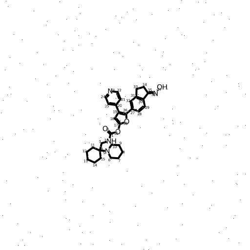 O=C(NCC1(N2CCCCC2)CCCCC1)Oc1cc(-c2ccncc2)c(-c2ccc3c(c2)CCC3=NO)o1